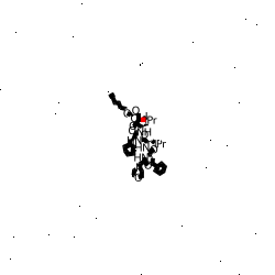 C#CCCCCOC(=O)OC(C)(CI)C(=O)[C@H](CC(C)C)NC(=O)[C@H](Cc1ccccc1)NC(=O)[C@H](CC(C)C)NC(=O)[C@H](CCc1ccccc1)NC(=O)CN1CCOCC1